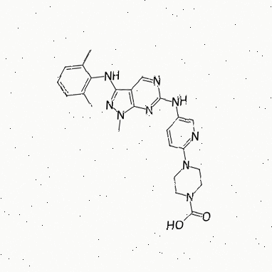 Cc1cccc(C)c1Nc1nn(C)c2nc(Nc3ccc(N4CCN(C(=O)O)CC4)nc3)ncc12